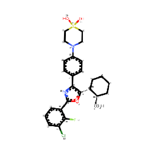 O=C(O)[C@@H]1CCCC[C@H]1c1oc(-c2cccc(Cl)c2F)nc1-c1ccc(N2CCS(O)(O)CC2)cc1